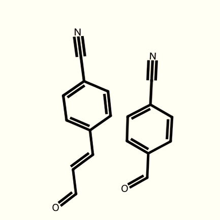 N#Cc1ccc(C=CC=O)cc1.N#Cc1ccc(C=O)cc1